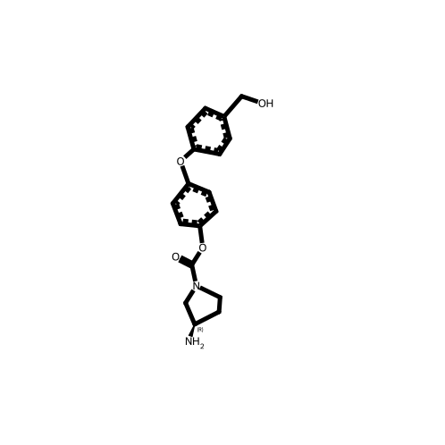 N[C@@H]1CCN(C(=O)Oc2ccc(Oc3ccc(CO)cc3)cc2)C1